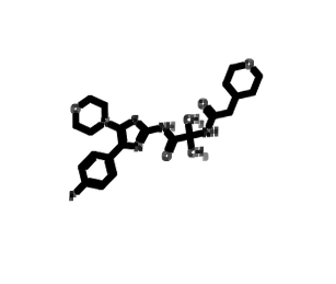 CC(C)(NC(=O)CC1CCOCC1)C(=O)Nc1nc(-c2ccc(F)cc2)c(N2CCOCC2)s1